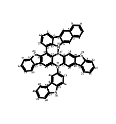 c1ccc2cc3c(cc2c1)c1cccc2c1n3B1c3cc4sc5ccccc5c4cc3N(c3ccc4sc5ccccc5c4c3)c3cc4c(sc5ccccc54)c-2c31